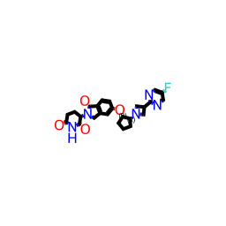 O=C1CCC(N2Cc3cc(O[C@@H]4CCC[C@H]4N4CC(c5ncc(F)cn5)C4)ccc3C2=O)C(=O)N1